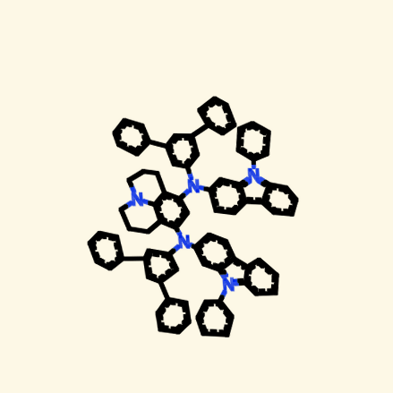 c1ccc(-c2cc(-c3ccccc3)cc(N(c3ccc4c5ccccc5n(-c5ccccc5)c4c3)c3cc(N(c4cc(-c5ccccc5)cc(-c5ccccc5)c4)c4ccc5c6ccccc6n(-c6ccccc6)c5c4)c4c5c3CCCN5CCC4)c2)cc1